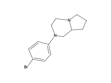 Brc1ccc(N2CCN3CCCC3C2)cc1